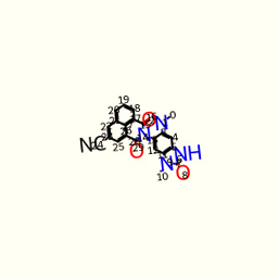 CN(C)c1cc2[nH]c(=O)n(C)c2cc1N1C(=O)c2cccc3cc(C#N)cc(c23)C1=O